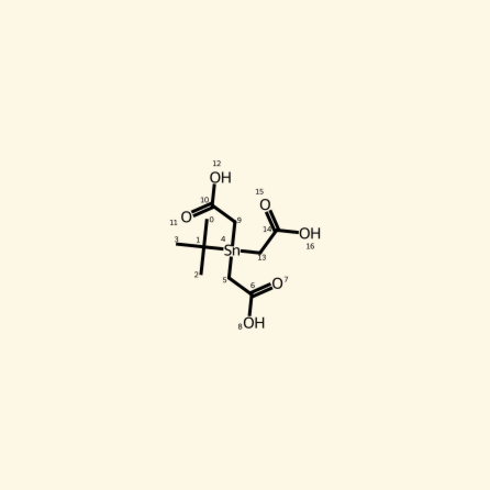 C[C](C)(C)[Sn]([CH2]C(=O)O)([CH2]C(=O)O)[CH2]C(=O)O